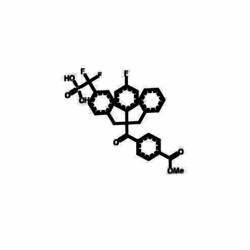 COC(=O)c1ccc(C(=O)C(Cc2ccccc2)(Cc2ccc(C(F)(F)P(=O)(O)O)cc2)c2ccc(F)cc2)cc1